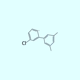 Cc1cc(C)cc(-c2[c]ccc(Cl)c2)c1